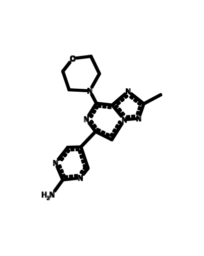 Cc1nc2c(N3CCOCC3)nc(-c3cnc(N)nc3)cn2n1